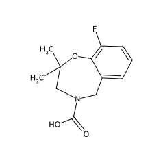 CC1(C)CN(C(=O)O)Cc2cccc(F)c2O1